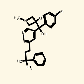 CC(C)c1ccc(C(O)(c2cnnc(CCC(C)(O)c3ccccc3)c2)C2(C)CN(C)C2)cc1